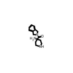 NC1(C(=O)N2Cc3ccccc3C2)CCNCC1